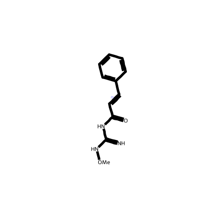 CONC(=N)NC(=O)/C=C/c1ccccc1